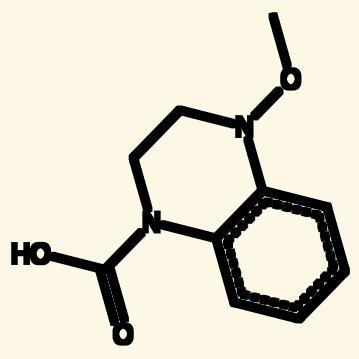 CON1CCN(C(=O)O)c2ccccc21